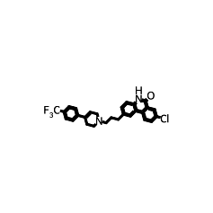 O=c1[nH]c2ccc(CCCN3CC=C(c4ccc(C(F)(F)F)cc4)CC3)cc2c2ccc(Cl)cc12